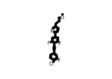 COCCCc1ccc(-c2cc(F)c(C#Cc3ccc(Cl)c(F)c3)c(F)c2)nc1